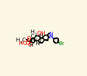 CC1O[C@@H]2C[C@H]3[C@@H]4CCC5=Cc6c(cnn6-c6ccc(Br)cc6)C[C@]5(C)[C@H]4[C@@H](O)C[C@]3(C)[C@]2(C(=O)CO)O1